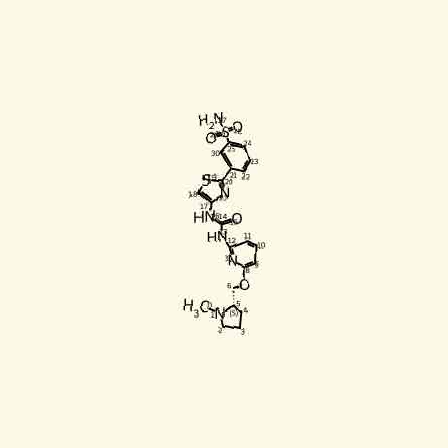 CN1CCC[C@H]1COc1cccc(NC(=O)Nc2csc(-c3cccc(S(N)(=O)=O)c3)n2)n1